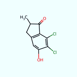 CC1Cc2cc(O)c(Cl)c(Cl)c2C1=O